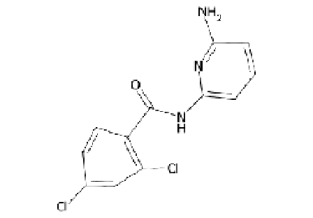 Nc1cccc(NC(=O)c2ccc(Cl)cc2Cl)n1